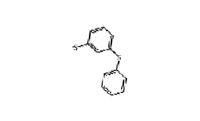 [S]c1cccc(Sc2ccccc2)c1